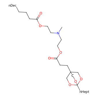 CCCCCCCCCCCCCC(=O)OCCN(C)CCOC(=O)CCC12COC(CCCCCCC)(OC1)OC2